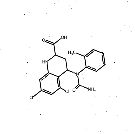 Cc1ccccc1N(C(N)=O)C1CC(C(=O)O)Nc2cc(Cl)cc(Cl)c21